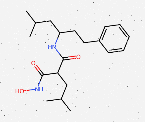 CC(C)CC(CCc1ccccc1)NC(=O)C(CC(C)C)C(=O)NO